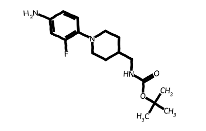 CC(C)(C)OC(=O)NCC1CCN(c2ccc(N)cc2F)CC1